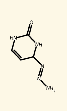 NN=NC1C=CNC(=O)N1